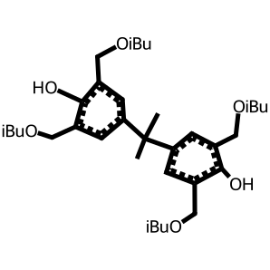 CC(C)COCc1cc(C(C)(C)c2cc(COCC(C)C)c(O)c(COCC(C)C)c2)cc(COCC(C)C)c1O